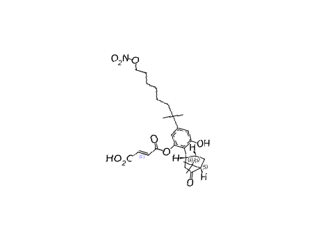 CC(C)(CCCCCCO[N+](=O)[O-])c1cc(O)c([C@H]2CC(=O)[C@H]3C[C@@H]2C3(C)C)c(OC(=O)/C=C/C(=O)O)c1